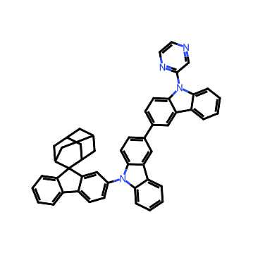 c1ccc2c(c1)-c1ccc(-n3c4ccccc4c4cc(-c5ccc6c(c5)c5ccccc5n6-c5cnccn5)ccc43)cc1C21C2CC3CC(C2)CC1C3